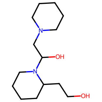 OCCC1CCCCN1C(O)CN1CCCCC1